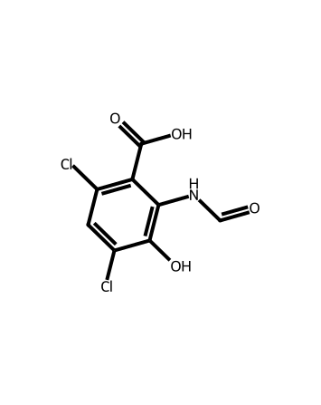 O=CNc1c(O)c(Cl)cc(Cl)c1C(=O)O